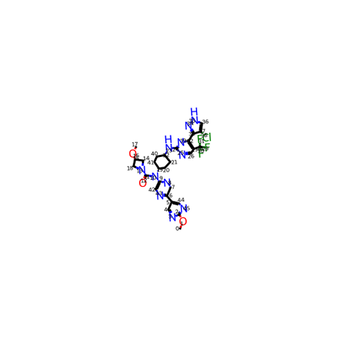 COc1ncc(-c2cnc(N(C(=O)N3CC(OC)C3)[C@H]3CC[C@H](Nc4ncc(C(F)(F)F)c(-c5n[nH]cc5Cl)n4)CC3)cn2)cn1